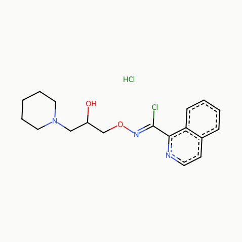 Cl.OC(CO/N=C(\Cl)c1nccc2ccccc12)CN1CCCCC1